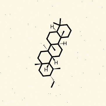 CC[C@@H]1CC[C@]2(C)CC[C@]3(C)[C@H](CC[C@@H]4[C@@]5(C)CCCC(C)(C)[C@@H]5CC[C@]43C)[C@@H]2[C@H]1C